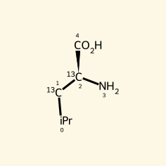 [13CH3][13CH]([13CH3])[13CH2][13C@H](N)[13C](=O)O